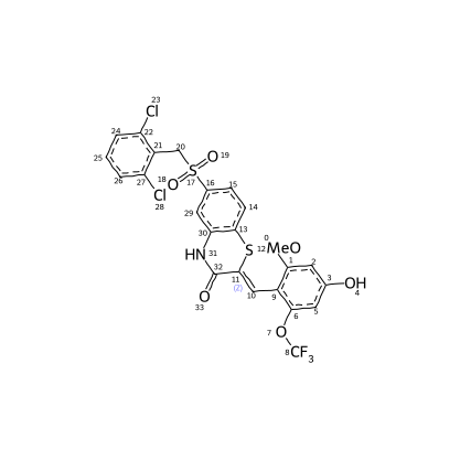 COc1cc(O)cc(OC(F)(F)F)c1/C=C1\Sc2ccc(S(=O)(=O)Cc3c(Cl)cccc3Cl)cc2NC1=O